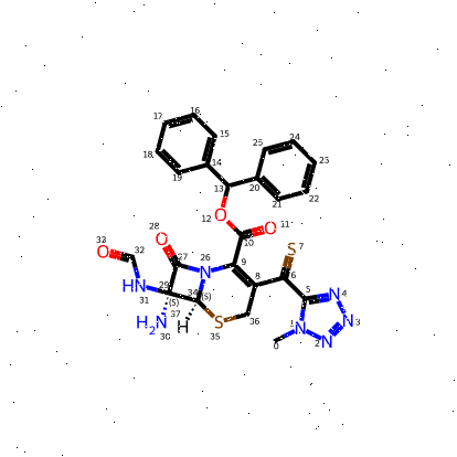 Cn1nnnc1C(=S)C1=C(C(=O)OC(c2ccccc2)c2ccccc2)N2C(=O)[C@](N)(NC=O)[C@@H]2SC1